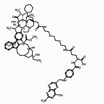 CC[C@]1(O)C[C@@H]2CN(CCc3c([nH]c4ccccc34)[C@@](C(=O)OC)(c3cc4c(cc3OC)N(C)[C@H]3[C@@](O)(C(=O)OC)[C@H](O[Si]5(CCCCC(=O)NCCOCCOCCNC(=O)CC[C@H](NC(=O)c6ccc(NCc7cnc8nc(N)nc(O)c8n7)cc6)C(=O)O)CCCCC5)[C@]5(CC)C=CCN6CC[C@]43C65)C2)C1